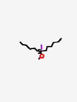 CCCCCC[Si](I)(CCCCCC)OC